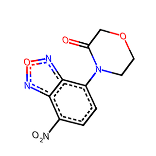 O=C1COCCN1c1ccc([N+](=O)[O-])c2nonc12